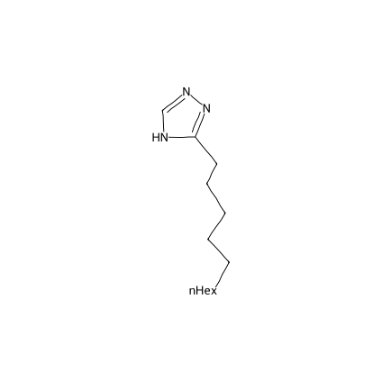 CCCCCCCCCCCc1nnc[nH]1